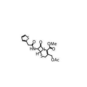 COC(=O)C1=C(COC(C)=O)CS[C@@H]2C(NC(=O)Cc3cccs3)C(=O)N12